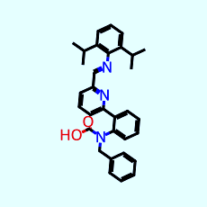 CC(C)c1cccc(C(C)C)c1N=Cc1cccc(-c2ccccc2N(Cc2ccccc2)C(=O)O)n1